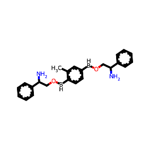 Cc1cc(BOCC(N)c2ccccc2)ccc1BOCC(N)c1ccccc1